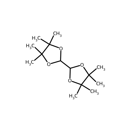 CC1(C)OC(C2OC(C)(C)C(C)(C)O2)OC1(C)C